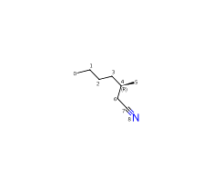 CCCC[C@@H](C)CC#N